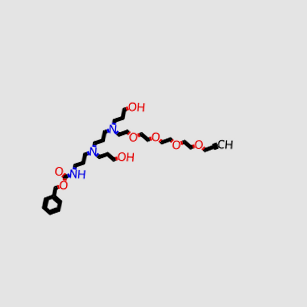 C#CCOCCOCCOCCOCCN(CCCO)CCCN(CCCO)CCCNC(=O)OCc1ccccc1